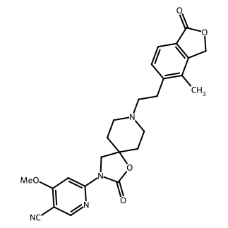 COc1cc(N2CC3(CCN(CCc4ccc5c(c4C)COC5=O)CC3)OC2=O)ncc1C#N